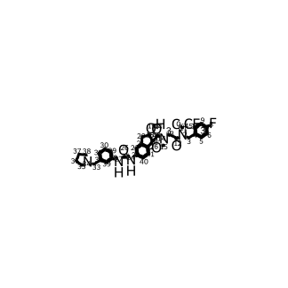 C[C@H](N(Cc1ccc(F)cc1)C(=O)CN1CO[C@]2(C(=O)Cc3cc(NC(=O)Nc4cccc(CN5CCCC5)c4)ccc32)C1=O)C(F)(F)F